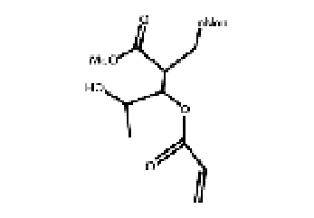 C=CC(=O)OC(C(C)O)C(CCCCCCCCCC)C(=O)OC